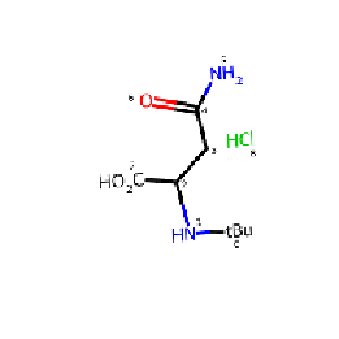 CC(C)(C)NC(CC(N)=O)C(=O)O.Cl